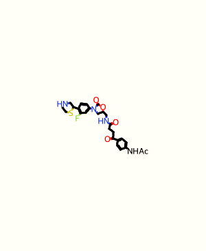 CC(=O)Nc1ccc(C(=O)CCC(=O)NCC2CN(c3ccc(C4CNCCS4)c(F)c3)C(=O)O2)cc1